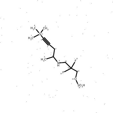 CC(CC#C[Si](C)(C)C)NCC(F)(F)COS(=O)(=O)O